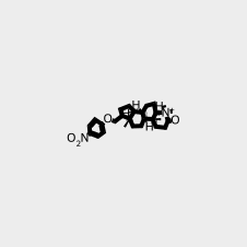 C[C@]12CCC(=O)[N+](C)(C)[C@@H]1CC[C@@H]1[C@@H]2CC[C@]2(C)C(COc3ccc([N+](=O)[O-])cc3)CC[C@@H]12